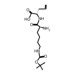 C=CC[C@H](NC(=O)[C@@H](N)CCCCNC(=O)OC(C)(C)C)C(=O)O